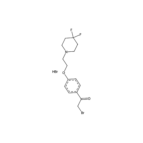 Br.O=C(CBr)c1ccc(OCCN2CCC(F)(F)CC2)cc1